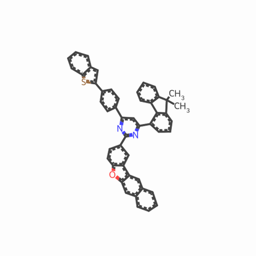 CC1(C)c2ccccc2-c2c(-c3cc(-c4ccc(-c5cc6ccccc6s5)cc4)nc(-c4ccc5oc6cc7ccccc7cc6c5c4)n3)cccc21